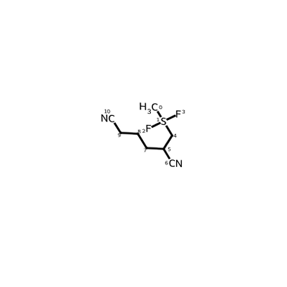 CS(F)(F)CC(C#N)CCCC#N